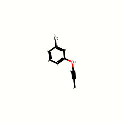 CC#COc1cccc(CC)c1